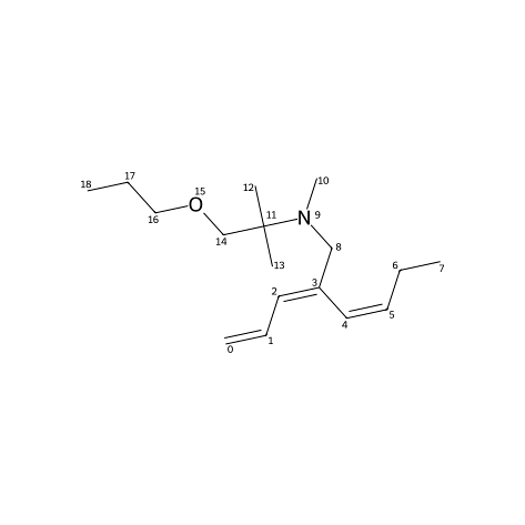 C=C/C=C(\C=C/CC)CN(C)C(C)(C)COCCC